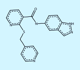 O=C([N]c1ccc2[nH]ncc2c1)c1cccnc1SCc1ccncc1